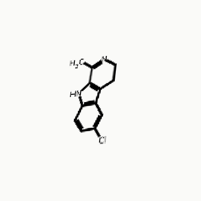 CC1=NCCc2c1[nH]c1ccc(Cl)cc21